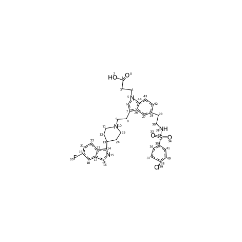 O=C(O)CCn1cc(CCN2CCC(c3nsc4cc(F)ccc34)CC2)c2cc(CCNS(=O)(=O)c3ccc(Cl)cc3)ccc21